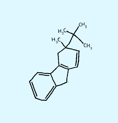 CC(C)(C)C1(C)C=CC2=C(C1)c1ccccc1[CH]2